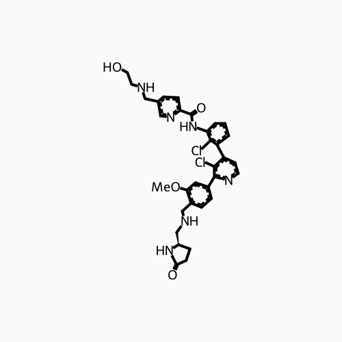 COc1cc(-c2nccc(-c3cccc(NC(=O)c4ccc(CNCCO)cn4)c3Cl)c2Cl)ccc1CNC[C@H]1CCC(=O)N1